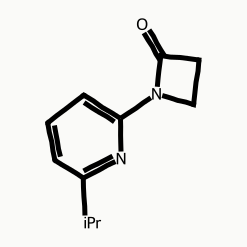 CC(C)c1cccc(N2CCC2=O)n1